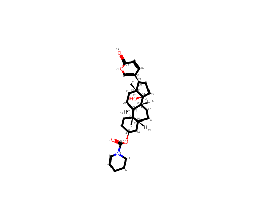 C[C@]12CC[C@H](OC(=O)N3CCCCC3)C[C@H]1CC[C@@H]1[C@@H]2CC[C@]2(C)[C@@H](c3ccc(=O)oc3)CC[C@]12O